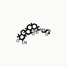 CC1(C(=O)NCc2cnco2)CCC2(C)CCC3(C)C4(C)CCC5C(C)(C)C(=O)C(C#N)=CC5(C)C4=CC(=O)C3(O)C2C1